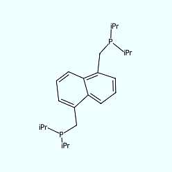 CC(C)P(Cc1cccc2c(CP(C(C)C)C(C)C)cccc12)C(C)C